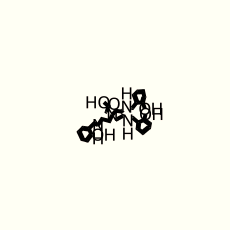 O=C(O)C[N+](CCNCc1ccccc1O)(CCNCc1ccccc1O)CCNCc1ccccc1O